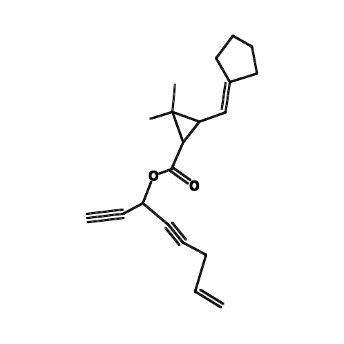 C#CC(C#CCC=C)OC(=O)C1C(C=C2CCCC2)C1(C)C